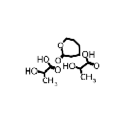 CC(O)C(=O)O.CC(O)C(=O)O.O=C1CCCCCO1